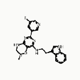 C[C@H]1CNc2nc(-c3cncc(F)c3)nc(NCCc3c[nH]c4ccccc34)c2O1